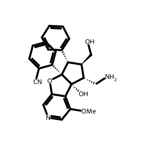 COc1cncc2c1[C@]1(O)[C@@H](CN)[C@H](CO)[C@@H](c3ccccc3)[C@]1(c1ccccc1C#N)O2